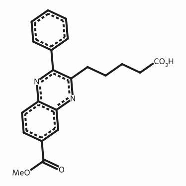 COC(=O)c1ccc2nc(-c3ccccc3)c(CCCCC(=O)O)nc2c1